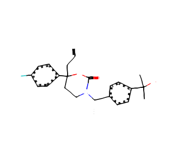 C=CCC1(c2ccc(F)cc2)CCN([C@@H](C)c2ccc(C(C)(C)O)cc2)C(=O)O1